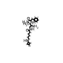 CC(NC(Cc1ccccc1)C(N)=O)C(N)CNC(=O)CCCCCNC1C=CC1